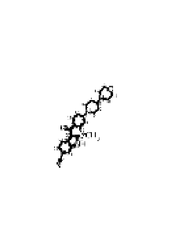 Cn1c2cc(N3CCC(N4CCOCC4)CC3)ccc2c(=O)c2c3ccc(C#N)cc3[nH]c21